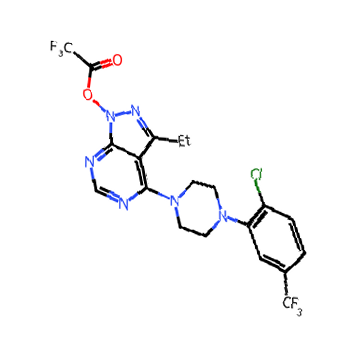 CCc1nn(OC(=O)C(F)(F)F)c2ncnc(N3CCN(c4cc(C(F)(F)F)ccc4Cl)CC3)c12